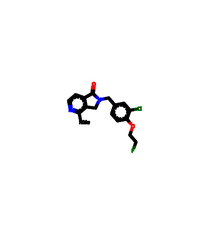 CNc1nccc2c1CN(Cc1ccc(OCCF)c(Cl)c1)C2=O